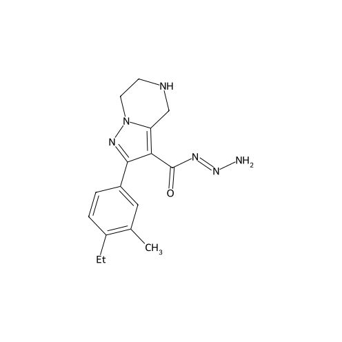 CCc1ccc(-c2nn3c(c2C(=O)N=NN)CNCC3)cc1C